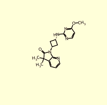 COc1ccnc(N[C@H]2C[C@H](N3C(=O)C(C)(C)c4cccnc43)C2)n1